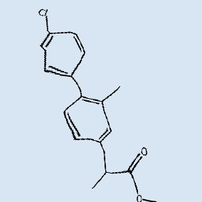 COC(=O)C(C)c1ccc(-c2ccc(Cl)cc2)c(C)c1